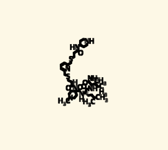 CC[C@H](C)[C@H](NC(=O)[C@H](CCC(C)C)NC(=O)C1(NC(=O)CCSCc2cccc(CSCCC(=O)NC3CCNCC3)n2)CCN(C)CC1)C(N)=O